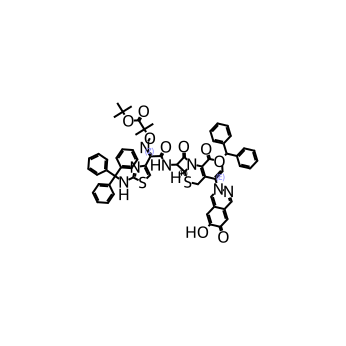 C/C=C(\C1=C(C(=O)OC(c2ccccc2)c2ccccc2)N2C(=O)C(NC(=O)/C(=N\OC(C)(C)C(=O)OC(C)(C)C)c3csc(NC(c4ccccc4)(c4ccccc4)c4ccccc4)n3)[C@H]2SC1)n1cc2cc(O)c(=O)cc-2cn1